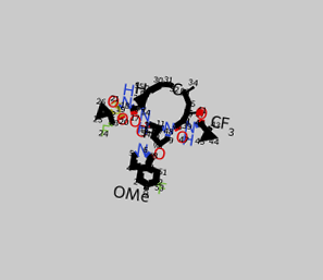 COc1cc2ccnc(O[C@@H]3C[C@H]4C(=O)N[C@]5(C(=O)NS(=O)(=O)C6(CF)CC6)C[C@H]5C=CCC[C@@H](C)C[C@@H](C)[C@H](NC(=O)C5(C(F)(F)F)CC5)C(=O)N4C3)c2cc1F